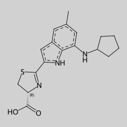 Cc1cc(NC2CCCC2)c2[nH]c(C3=N[C@H](C(=O)O)CS3)cc2c1